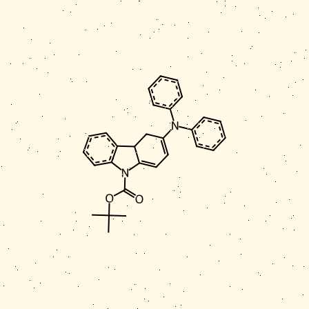 CC(C)(C)OC(=O)N1C2=CC=C(N(c3ccccc3)c3ccccc3)CC2c2ccccc21